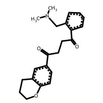 CN(C)Cc1ccccc1C(=O)CCC(=O)c1ccc2c(c1)CCCO2